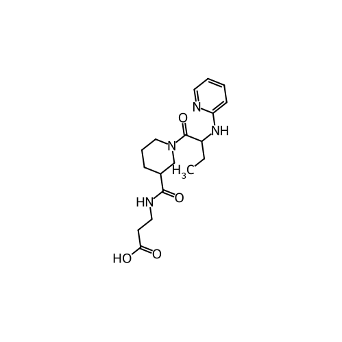 CCC(Nc1ccccn1)C(=O)N1CCCC(C(=O)NCCC(=O)O)C1